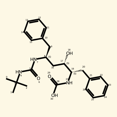 CC(C)(C)NC(=O)N[C@@H](Cc1ccccc1)C[C@H](O)[C@H](Cc1ccccc1)NC(=O)O